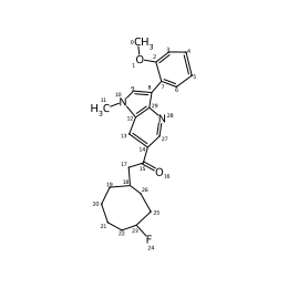 COc1ccccc1-c1cn(C)c2cc(C(=O)CC3CCCCC(F)CC3)cnc12